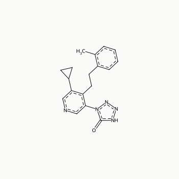 Cc1ccccc1CCc1c(C2CC2)cncc1-n1nn[nH]c1=O